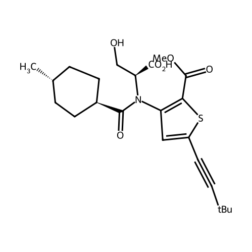 COC(=O)c1sc(C#CC(C)(C)C)cc1N(C(=O)[C@H]1CC[C@H](C)CC1)[C@@H](CO)C(=O)O